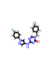 O=c1nc(Nc2cnn(-c3ccc(F)cc3)c2)ncn1Cc1ccc(Cl)cc1